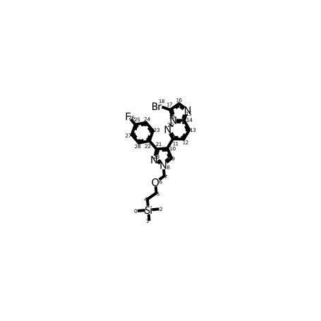 C[Si](C)(C)CCOCn1cc(-c2ccc3ncc(Br)n3n2)c(-c2ccc(F)cc2)n1